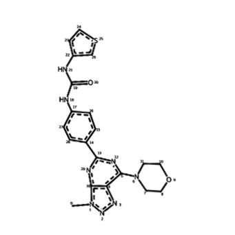 Cn1nnc2c(N3CCOCC3)nc(-c3ccc(NC(=O)Nc4ccsc4)cc3)nc21